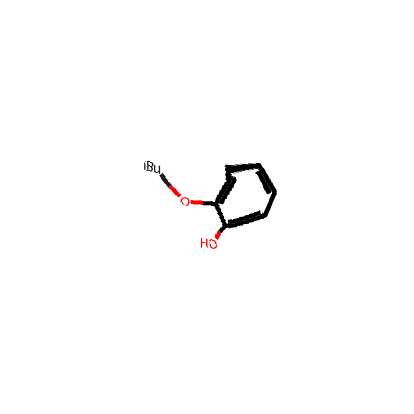 CCC(C)Oc1ccccc1O